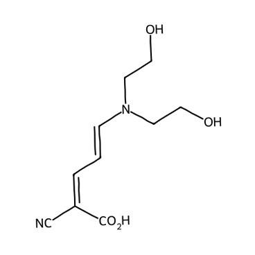 N#CC(=CC=CN(CCO)CCO)C(=O)O